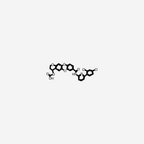 O=C(O)OC1CCOc2cc(Oc3ccc(C(=O)Nc4cccc(-c5ccc(Cl)cc5Cl)n4)cc3)c(Cl)cc21